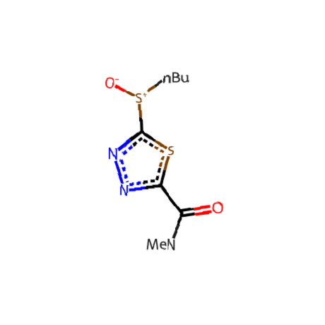 CCCC[S+]([O-])c1nnc(C(=O)NC)s1